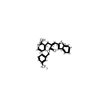 O=C(OCc1cccc(C(F)(F)F)c1)/C(=C\c1cc2ccccc2s1)Cc1cccnc1O